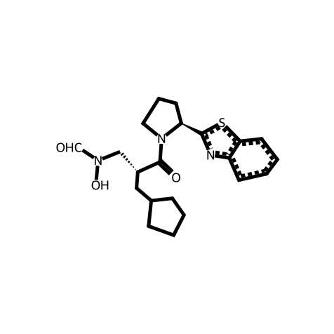 O=CN(O)C[C@@H](CC1CCCC1)C(=O)N1CCC[C@H]1c1nc2ccccc2s1